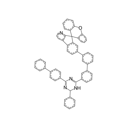 c1ccc(-c2ccc(C3=NC(c4ccccc4)NC(c4cccc(-c5cccc(-c6ccc7c(c6)C6(c8ccccc8Oc8ccccc86)c6ncccc6-7)c5)c4)=N3)cc2)cc1